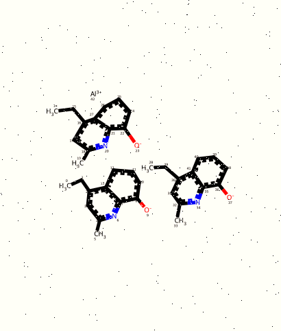 CCc1cc(C)nc2c([O-])cccc12.CCc1cc(C)nc2c([O-])cccc12.CCc1cc(C)nc2c([O-])cccc12.[Al+3]